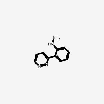 NNc1ccccc1-c1cccnn1